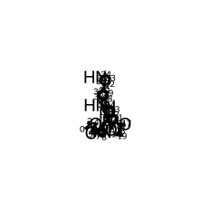 CC(C)S(=O)(=O)n1ccnc1Cn1c(=O)c(C(=O)C2CC2)cc2cnc(Nc3ccc(C4CCCNC4)cc3)nc21